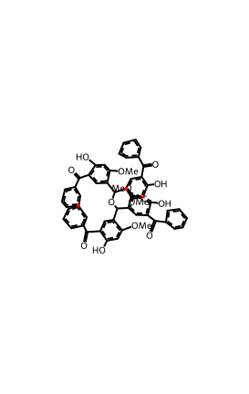 COc1cc(O)c(C(=O)c2ccccc2)cc1C(OC(c1cc(C(=O)c2ccccc2)c(O)cc1OC)c1cc(C(=O)c2ccccc2)c(O)cc1OC)c1cc(C(=O)c2ccccc2)c(O)cc1OC